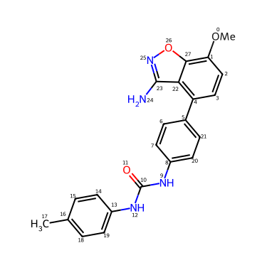 COc1ccc(-c2ccc(NC(=O)Nc3ccc(C)cc3)cc2)c2c(N)noc12